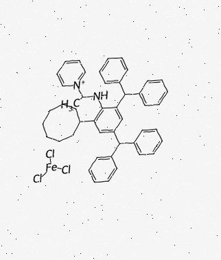 CC(Nc1c(C2CCCCCCC2)cc(C(c2ccccc2)c2ccccc2)cc1C(c1ccccc1)c1ccccc1)[n+]1ccccc1.[Cl][Fe]([Cl])[Cl]